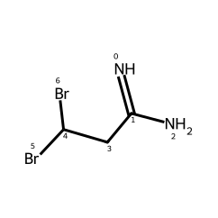 N=C(N)CC(Br)Br